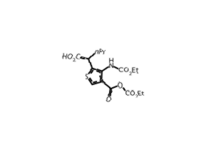 CCCC(C(=O)O)c1scc(C(=O)OC(=O)OCC)c1NC(=O)OCC